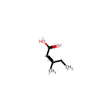 CC/C(C)=C\C(=O)O